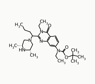 CCCC(c1nc2cc(N(CC)C(=O)OC(C)(C)C)ccc2c(=O)n1CC)N1C[C@@H](C)N[C@@H](C)C1